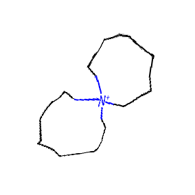 C1CCC[N+]2(CC1)CCCCCC2